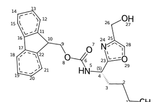 CCCC[C@H](NC(=O)OCC1c2ccccc2-c2ccccc21)c1nc(CO)co1